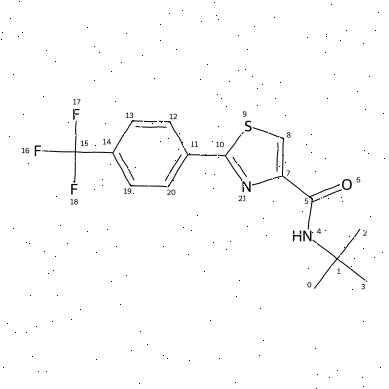 CC(C)(C)NC(=O)c1csc(-c2ccc(C(F)(F)F)cc2)n1